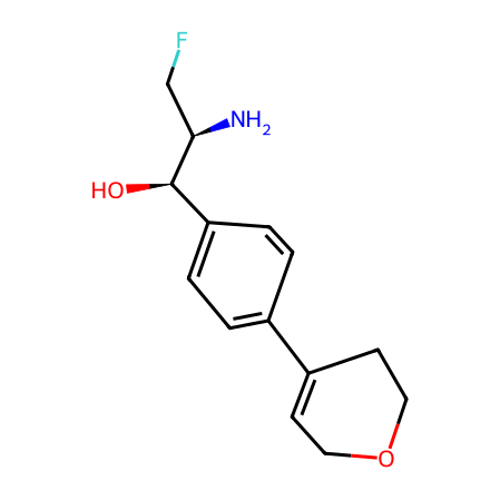 N[C@H](CF)[C@H](O)c1ccc(C2=CCOCC2)cc1